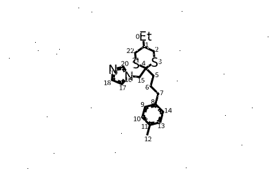 CCC1CSC(CCCc2ccc(C)cc2)(Cn2ccnc2)SC1